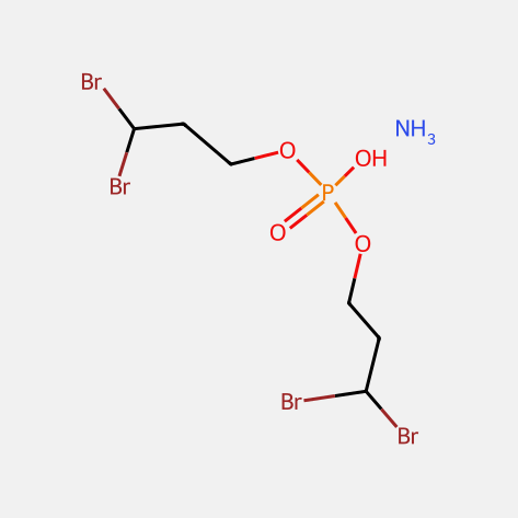 N.O=P(O)(OCCC(Br)Br)OCCC(Br)Br